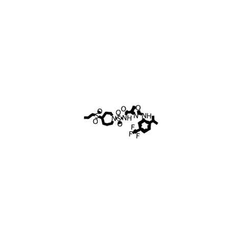 CCCS(=O)(=O)C1CCCN(S(=O)(=O)NC(=O)c2coc(Nc3cc(C(F)(F)F)ccc3C(C)C)n2)CC1